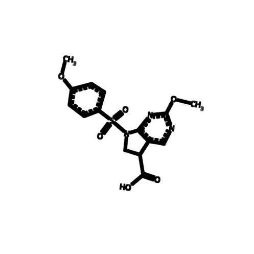 COc1ccc(S(=O)(=O)N2CC(C(=O)O)c3cnc(OC)nc32)cc1